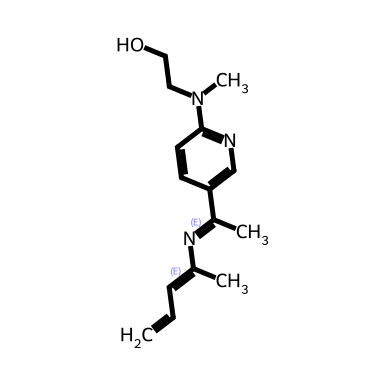 C=C/C=C(C)/N=C(\C)c1ccc(N(C)CCO)nc1